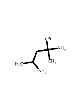 CCCC(C)(N)CC(C)N